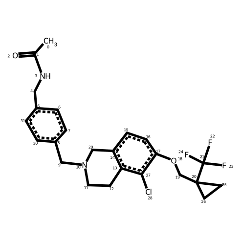 CC(=O)NCc1ccc(CN2CCc3c(ccc(OCC4(C(F)(F)F)CC4)c3Cl)C2)cc1